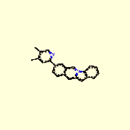 Cc1cnc(-c2ccc3cc4cc5ccccc5n4cc3c2)cc1C